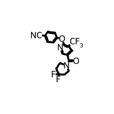 N#Cc1ccc(Oc2ncc(C(=O)N3CCC(F)(F)CC3)cc2C(F)(F)F)cc1